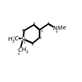 CNCC1CC[Si](C)(C)CC1